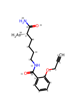 C#CCOc1ccccc1C(=O)NCCCC[C@H]([AsH2])C(N)=O